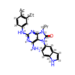 CCc1cc(Nc2nc(N)c3c(n2)n(C(C)C)c(=O)n3-c2ccc3[nH]ccc3c2)ccc1C(C)=O